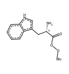 CC(C)(C)OOC(=O)[C@@H](N)Cc1c[nH]c2ccccc12